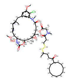 COc1cc2cc(c1Cl)N(C)C(=O)C[C@H](OC(=O)[C@H](C)N(C)C(=O)CCSSC(C)CCC(=O)C1CCCCCCCCCC1)[C@]1(C)O[C@H]1[C@H](C)[C@@H]1C[C@@](O)(NC(=O)O1)[C@H](OC)/C=C/C=C(\C)C2